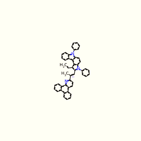 C=Cc1c(/C=C(\C)c2ccc3c4ccccc4c4ccccc4c3n2)n(-c2ccccc2)c2ccc3c(c4ccccc4n3-c3ccccc3)c12